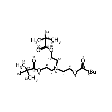 CC(C)(C)C(=O)OCCN(CCOC(=O)C(C)(C)I)CCOC(=O)C(C)(C)I